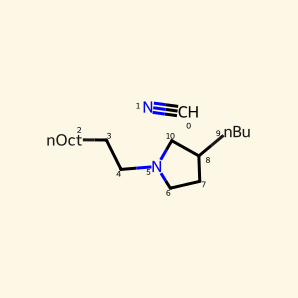 C#N.CCCCCCCCCCN1CCC(CCCC)C1